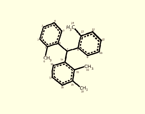 Cc1ccccc1C(c1ccccc1C)c1cccc(C)c1C